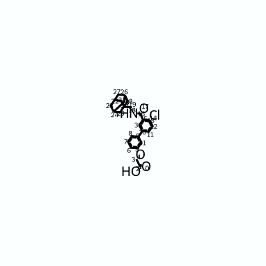 O=C(O)COc1cccc(-c2ccc(Cl)c(C(=O)NCC34CC5CC(CC(C5)C3)C4)c2)c1